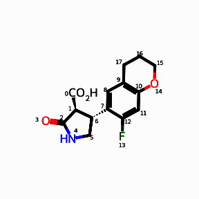 O=C(O)[C@@H]1C(=O)NC[C@H]1c1cc2c(cc1F)OCCC2